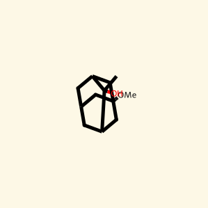 COC12CC3CC(C1)C(C)(O)C(C3)C2